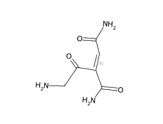 NCC(=O)/C(=C\C(N)=O)C(N)=O